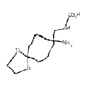 NC1(CNC(=O)O)CCC2(CC1)OCCO2